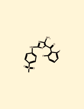 CS(=O)(=O)c1ccc(Nc2nc(N)c(C(=O)c3c(F)cccc3F)s2)cc1